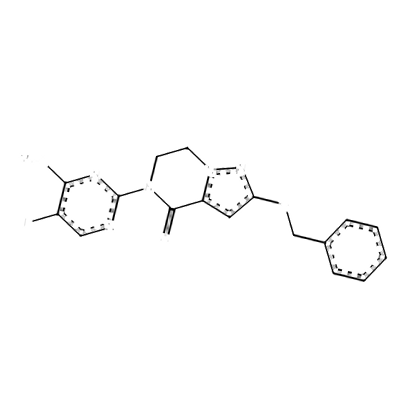 COc1nc(N2CCn3nc(OCc4ccccc4)cc3C2=O)ncc1F